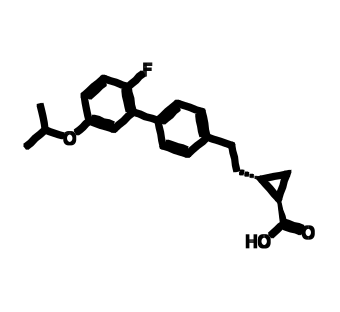 CC(C)Oc1ccc(F)c(-c2ccc(CC[C@@H]3C[C@H]3C(=O)O)cc2)c1